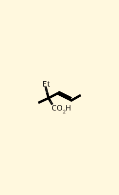 CC=CC(C)(CC)C(=O)O